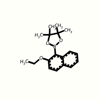 CCOc1ccc2ccccc2c1B1OC(C)(C)C(C)(C)O1